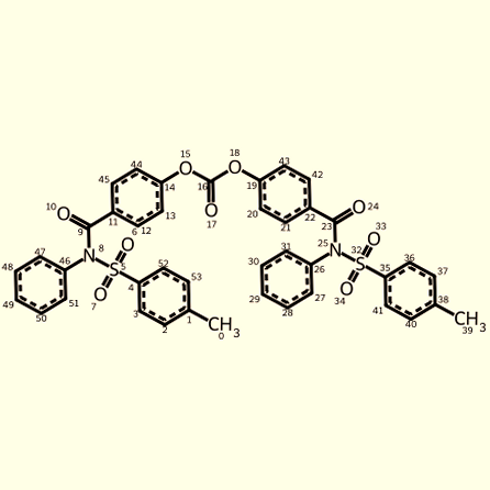 Cc1ccc(S(=O)(=O)N(C(=O)c2ccc(OC(=O)Oc3ccc(C(=O)N(c4ccccc4)S(=O)(=O)c4ccc(C)cc4)cc3)cc2)c2ccccc2)cc1